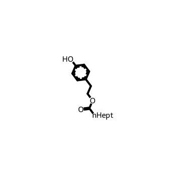 CCCCCCCC(=O)OCCc1ccc(O)cc1